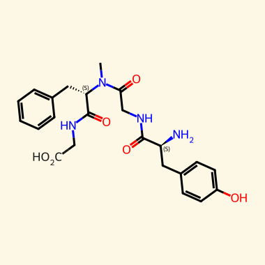 CN(C(=O)CNC(=O)[C@@H](N)Cc1ccc(O)cc1)[C@@H](Cc1ccccc1)C(=O)NCC(=O)O